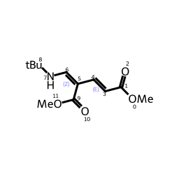 COC(=O)/C=C/C(=C/NC(C)(C)C)C(=O)OC